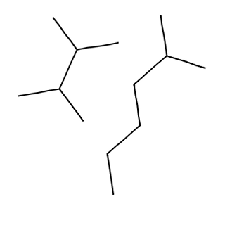 CC(C)C(C)C.CCCCC(C)C